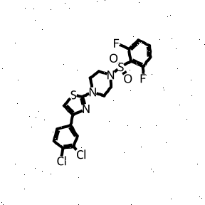 O=S(=O)(c1c(F)cccc1F)N1CCN(c2nc(-c3ccc(Cl)c(Cl)c3)cs2)CC1